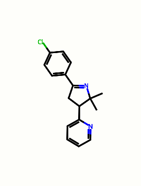 CC1(C)N=C(c2ccc(Cl)cc2)CC1c1ccccn1